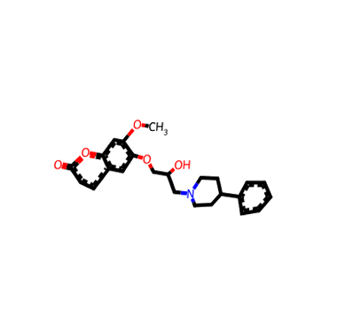 COc1cc2oc(=O)ccc2cc1OCC(O)CN1CCC(c2ccccc2)CC1